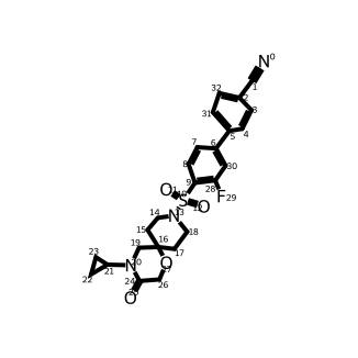 N#Cc1ccc(-c2ccc(S(=O)(=O)N3CCC4(CC3)CN(C3CC3)C(=O)CO4)c(F)c2)cc1